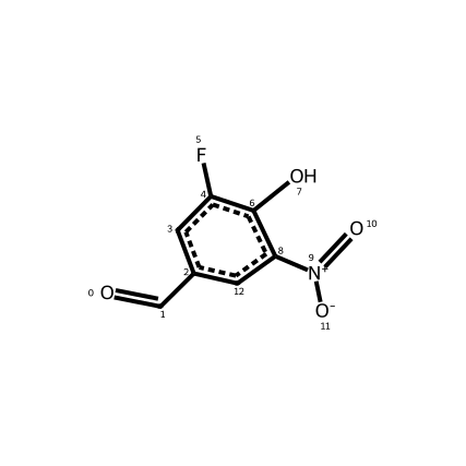 O=Cc1cc(F)c(O)c([N+](=O)[O-])c1